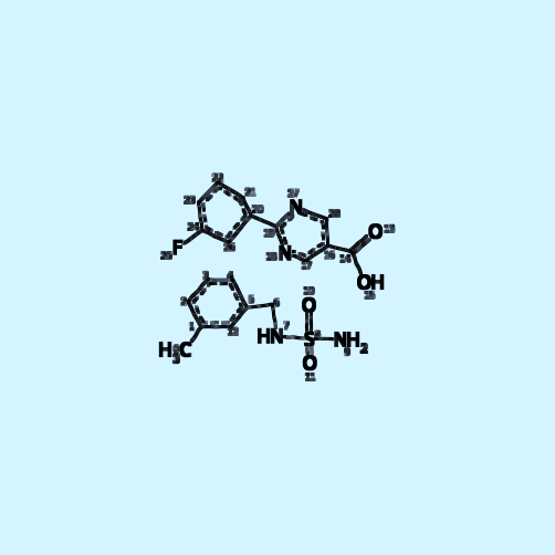 Cc1cccc(CNS(N)(=O)=O)c1.O=C(O)c1cnc(-c2cccc(F)c2)nc1